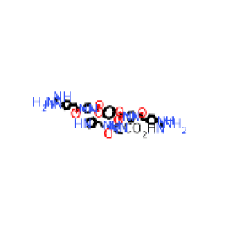 N=C(N)Nc1ccc(CC(=O)N2CCN(C(=O)O[C@H]3CCC[C@@H](OC(=O)N4CCN(C(=O)Cc5ccc(NC(=N)N)cc5)CC4)CCC3)CC2)cc1.O=C(O)N1CCN(C(=O)NCCC2CCNCC2)CC1